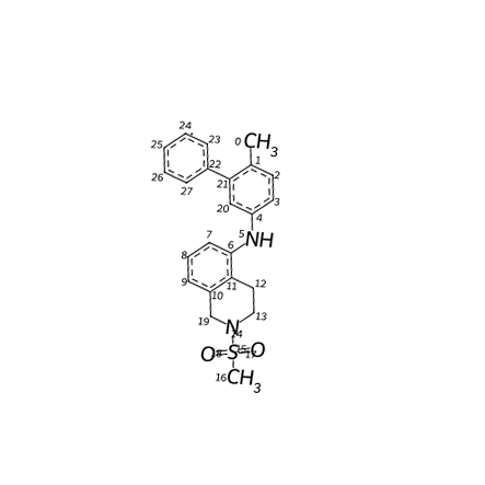 Cc1ccc(Nc2cccc3c2CCN(S(C)(=O)=O)C3)cc1-c1c[c]ccc1